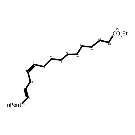 CCCCCC=CC/C=C\CCCCCCCCCC(=O)OCC